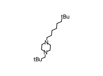 CC(C)(C)CCCCCCN1CCN(CC(C)(C)C)CC1